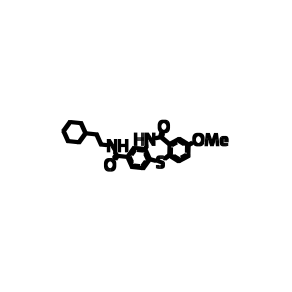 COc1ccc2c(c1)C(=O)Nc1cc(C(=O)NCCC3CCCCC3)ccc1S2